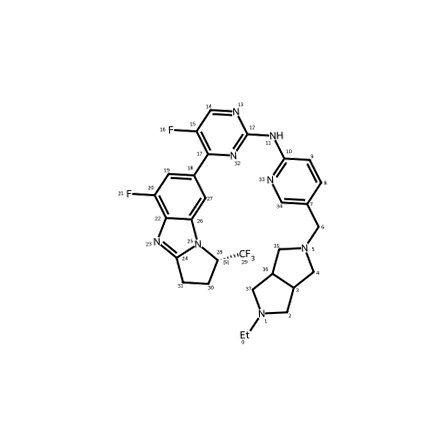 CCN1CC2CN(Cc3ccc(Nc4ncc(F)c(-c5cc(F)c6nc7n(c6c5)[C@H](C(F)(F)F)CC7)n4)nc3)CC2C1